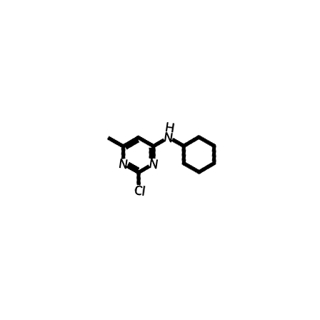 Cc1cc(NC2CCCCC2)nc(Cl)n1